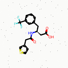 O=C(O)C[C@H](Cc1cccc(C(F)(F)F)c1)NC(=O)Cc1ccsc1